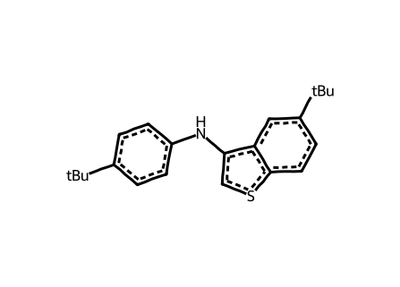 CC(C)(C)c1ccc(Nc2csc3ccc(C(C)(C)C)cc23)cc1